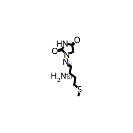 CSCC[C@H](N)/C=N/N1CC(=O)NC1=O